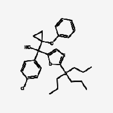 CCCS(CCC)(CCC)c1ncc(C(O)(c2ccc(Cl)cc2)C2(Oc3ccccc3)CC2)o1